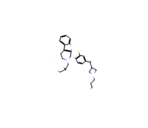 C[C@@H]1Cc2c([nH]c3ccccc23)[C@@H](c2ccc(C(F)C3CN(CCCF)C3)cc2F)N1CC(F)(F)CO